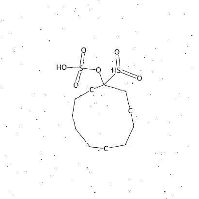 O=[SH](=O)C1(OS(=O)(=O)O)CCCCCCCCCC1